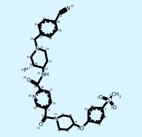 CS(=O)(=O)c1ccc(OC2CCN(C(=O)c3ccc(C(=O)NC4CCN(Cc5ccc(C#N)cc5)C[C@H]4F)nc3)CC2)cc1